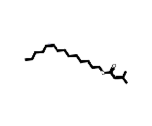 CCCC/C=C\CCCCCCCCOC(=O)C=C(C)C